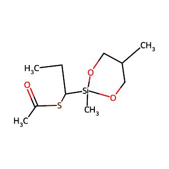 CCC(SC(C)=O)[Si]1(C)OCC(C)CO1